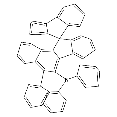 c1ccc(-c2c(N(c3ccccc3)c3ccccc3)c3c(c4ccccc24)C2(c4ccccc4-c4ccccc42)c2ccccc2-3)cc1